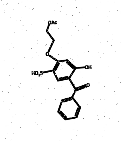 CC(=O)OCCOc1cc(O)c(C(=O)c2ccccc2)cc1S(=O)(=O)O